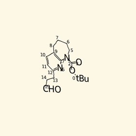 CC(C)(C)OC(=O)N1CCCCc2ccc(CCC=O)nc21